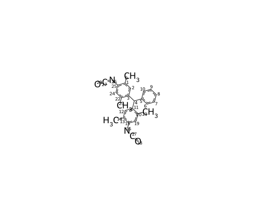 Cc1cc(C(c2ccccc2)c2cc(C)c(N=C=O)cc2C)c(C)cc1N=C=O